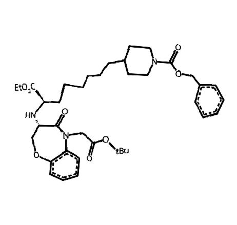 CCOC(=O)[C@@H](CCCCCCC1CCN(C(=O)OCc2ccccc2)CC1)N[C@H]1COc2ccccc2N(CC(=O)OC(C)(C)C)C1=O